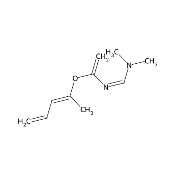 C=C/C=C(\C)OC(=C)/N=C\N(C)C